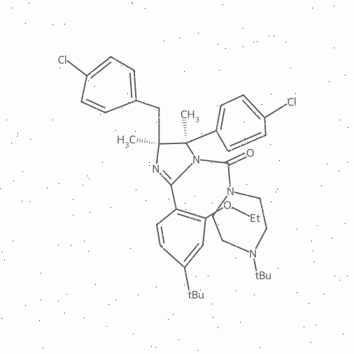 CCOc1cc(C(C)(C)C)ccc1C1=N[C@@](C)(Cc2ccc(Cl)cc2)[C@@](C)(c2ccc(Cl)cc2)N1C(=O)N1CCN(C(C)(C)C)CC1